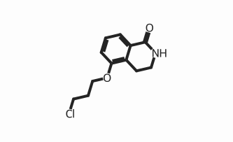 O=C1NCCc2c(OCCCCl)cccc21